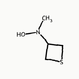 CN(O)C1CSC1